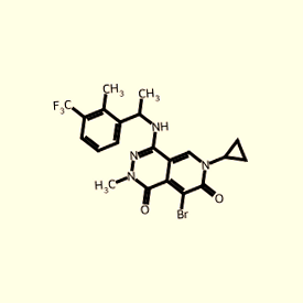 Cc1c(C(C)Nc2nn(C)c(=O)c3c(Br)c(=O)n(C4CC4)cc23)cccc1C(F)(F)F